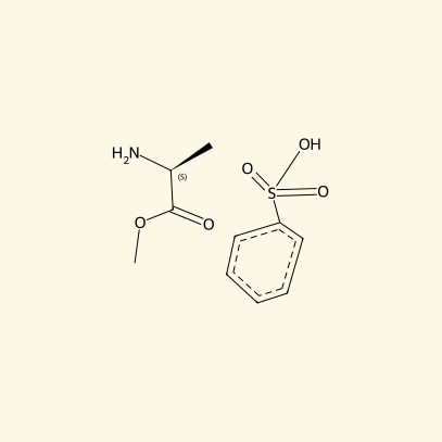 COC(=O)[C@H](C)N.O=S(=O)(O)c1ccccc1